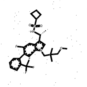 COCC(C)(C)Cn1cc([C@@H](C)NS(=O)(=O)C2CCC2)c2cc(F)c(-c3ccccc3C(F)(F)F)cc21